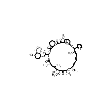 CO[C@@H]1C[C@H](C[C@@H](C)[C@@H]2CC(=O)[C@H](C)/C=C(\C)[C@@H](O)[C@@H](OC)C(=O)[C@H](C)C[C@H](C)/C=C/C=C/C=C(\C)C(c3ccco3)C[C@@H]3CC[C@@H](C)[C@@](O)(O3)C(=O)C(=O)N3CCCC[C@H]3C(=O)O2)CC[C@H]1O